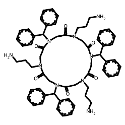 NCCCN1CC(=O)N(C(c2ccccc2)c2ccccc2)CC(=O)N(CCCN)CC(=O)N(C(c2ccccc2)c2ccccc2)CC(=O)N(CCCN)CC(=O)N(C(c2ccccc2)c2ccccc2)CC1=O